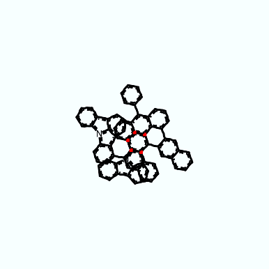 c1ccc(-c2c3cccc(-c4cc5ccccc5cc4-c4cccc5c4c4cccc6c7ccccc7n5c64)c3cc3c(-c4cc5ccccc5cc4-c4cccc5c4c4cccc6c7ccccc7n5c64)cccc23)cc1